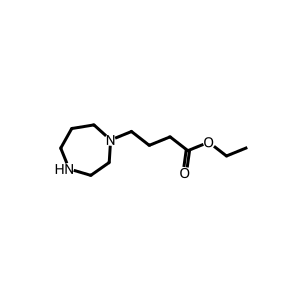 CCOC(=O)CCCN1CCCNCC1